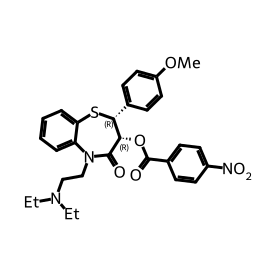 CCN(CC)CCN1C(=O)[C@@H](OC(=O)c2ccc([N+](=O)[O-])cc2)[C@@H](c2ccc(OC)cc2)Sc2ccccc21